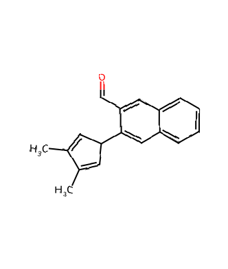 CC1=CC(c2cc3ccccc3cc2C=O)C=C1C